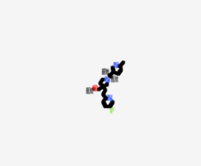 CCOCC1(CCc2ccc(F)cn2)CCN(C(CC)(CC)c2ccc(C)nc2)C1